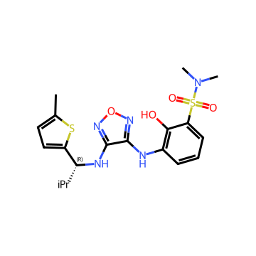 Cc1ccc([C@H](Nc2nonc2Nc2cccc(S(=O)(=O)N(C)C)c2O)C(C)C)s1